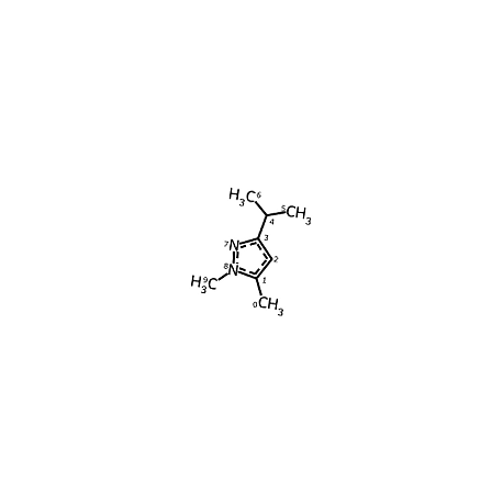 Cc1cc(C(C)C)nn1C